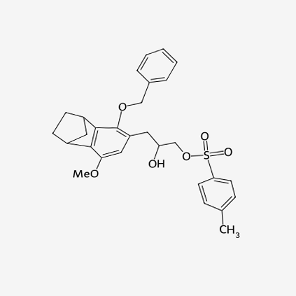 COc1cc(CC(O)COS(=O)(=O)c2ccc(C)cc2)c(OCc2ccccc2)c2c1C1CCC2C1